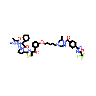 CCN(CCCCCOc1cccc(C(=O)c2csc(C3CCCN3C(=O)C(NC(=O)C(C)NC)C3CCCCC3)n2)c1)CC(C)NC(=O)c1ccc(-c2noc(C(F)(F)F)n2)cc1